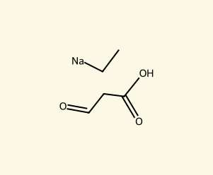 C[CH2][Na].O=CCC(=O)O